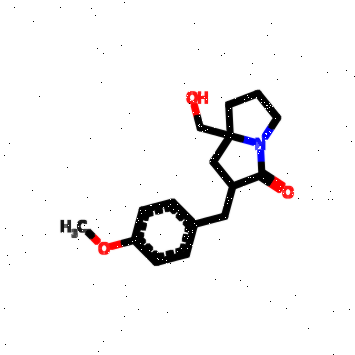 COc1ccc(CC2CC3(CO)CCCN3C2=O)cc1